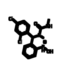 CNC(=O)N(C)C(c1ccc(Cl)cc1Cl)c1ccccc1[PH](=O)O